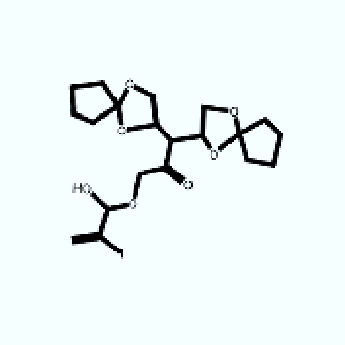 C=C(I)C(O)OCC(=O)C(C1COC2(CCCC2)O1)C1COC2(CCCC2)O1